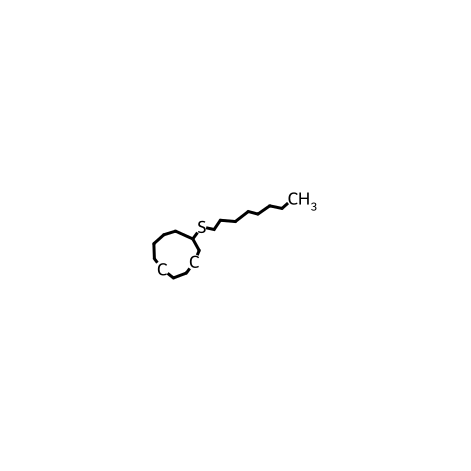 CCCCCCCCSC1CCCCCCCCC1